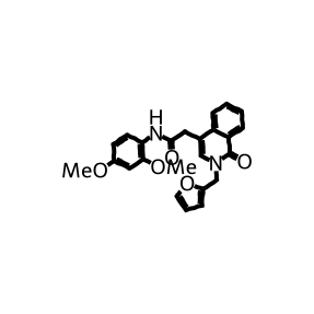 COc1ccc(NC(=O)Cc2cn(Cc3ccco3)c(=O)c3ccccc23)c(OC)c1